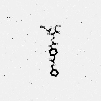 CC(C)(C)OC(=O)N[C@@H](COC(=O)Nc1ccc(CC(=O)OCc2ccccc2)cc1)C(=O)OC(C)(C)C